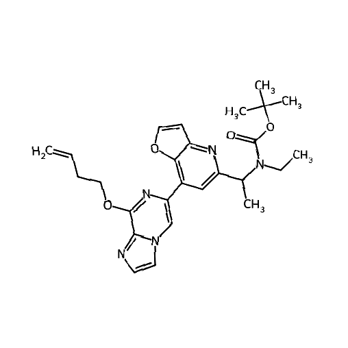 C=CCCOc1nc(-c2cc(C(C)N(CC)C(=O)OC(C)(C)C)nc3ccoc23)cn2ccnc12